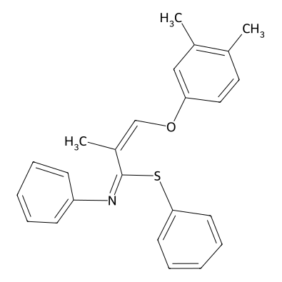 CC(=COc1ccc(C)c(C)c1)C(=Nc1ccccc1)Sc1ccccc1